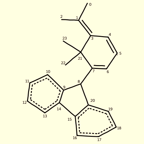 CC(C)=C1C=[C]C=C(C2c3ccccc3-c3ccccc32)C1(C)C